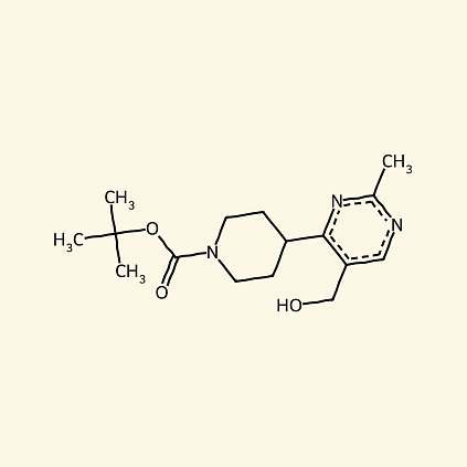 Cc1ncc(CO)c(C2CCN(C(=O)OC(C)(C)C)CC2)n1